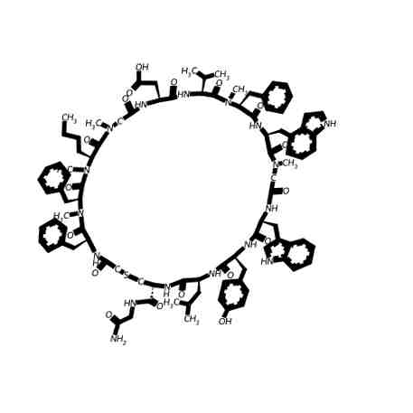 CCCC[C@H]1C(=O)N(C)CC(=O)N[C@@H](CC(=O)O)C(=O)N[C@@H](C(C)C)C(=O)N(C)[C@@H](Cc2ccccc2)C(=O)N[C@@H](Cc2cccc3[nH]ccc23)C(=O)N(C)CC(=O)N[C@@H](Cc2c[nH]c3ccccc23)C(=O)N[C@@H](Cc2ccc(O)cc2)C(=O)N[C@@H](CC(C)C)C(=O)N[C@H](C(=O)NCC(N)=O)CSCC(=O)N[C@@H](Cc2ccccc2)C(=O)N(C)[C@@H](Cc2ccccc2)C(=O)N1C